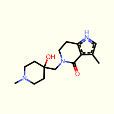 Cc1c[nH]c2c1C(=O)N(CC1(O)CCN(C)CC1)CC2